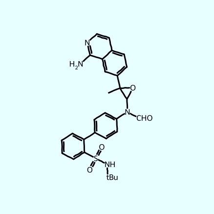 CC(C)(C)NS(=O)(=O)c1ccccc1-c1ccc(N(C=O)C2OC2(C)c2ccc3ccnc(N)c3c2)cc1